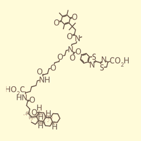 CC1=C(C)C(=O)C(C(C)(C)CC(=O)N(C)CCN(CCOCCOCCC(=O)NCCCCC(NC(=O)CC[C@@H](C)[C@H]2CC[C@H]3[C@@H]4CC[C@@H]5CCCC[C@]5(C)[C@H]4C[C@@H]4O[C@@]423)C(=O)O)C(=O)Oc2ccc3nc(C4=NC(C(=O)O)CS4)sc3c2)=C(C)C1=O